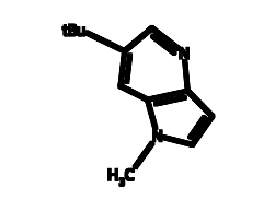 Cn1ccc2ncc(C(C)(C)C)cc21